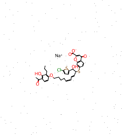 CCCc1c(OCCCC/C=C\C=C\C(Sc2ccc3c(=O)cc(C(=O)[O-])oc3c2)C(O)c2ccc(Cl)s2)ccc(C(C)=O)c1O.[Na+]